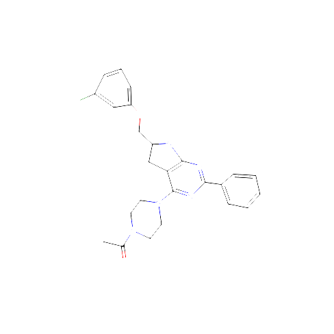 CC(=O)N1CCN(c2nc(-c3ccccc3)nc3c2CC(COc2cccc(Cl)c2)N3)CC1